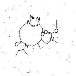 CCC(C)N1CC(C)C(CN(C)C(=O)OC(C)(C)C)OCc2cn(nn2)CCCC1=O